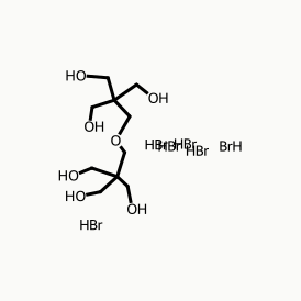 Br.Br.Br.Br.Br.Br.OCC(CO)(CO)COCC(CO)(CO)CO